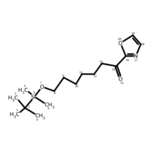 CC(C)(C)[Si](C)(C)OCCCCCCC(=O)c1ncco1